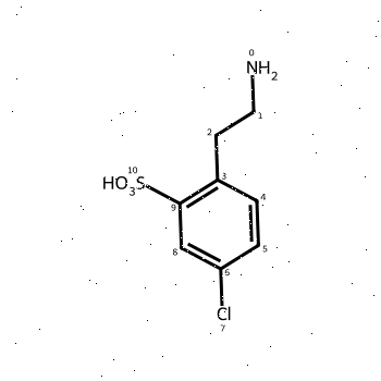 NCCc1ccc(Cl)cc1S(=O)(=O)O